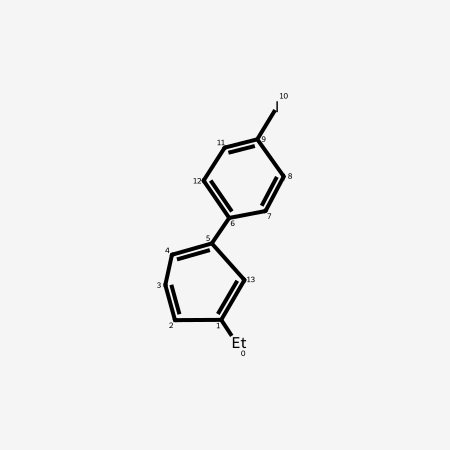 CCc1cccc(-c2c[c]c(I)cc2)c1